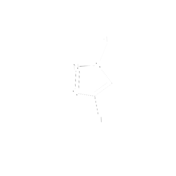 [2H]c1cn([2H])nn1